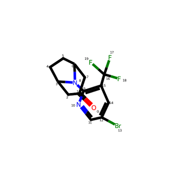 O=C1CC2CCC(C1)N2c1ncc(Br)cc1C(F)(F)F